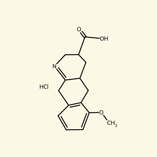 COc1cccc2c1CC1CC(C(=O)O)CN=C1C2.Cl